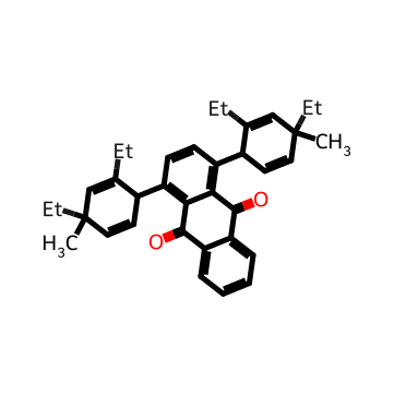 CCC1=CC(C)(CC)C=CC1c1ccc(C2C=CC(C)(CC)C=C2CC)c2c1C(=O)c1ccccc1C2=O